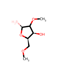 B[C@@H]1O[C@H](COC)[C@H](O)C1OC